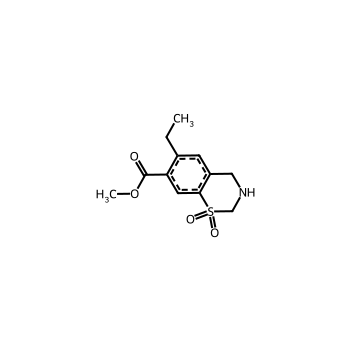 CCc1cc2c(cc1C(=O)OC)S(=O)(=O)CNC2